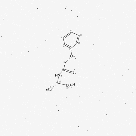 CC(C)(C)[C@H](NC(=O)COc1ccccc1)C(=O)O